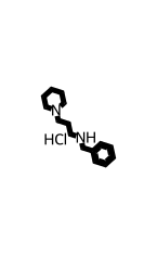 Cl.c1ccc(CNCCCN2CCCCC2)cc1